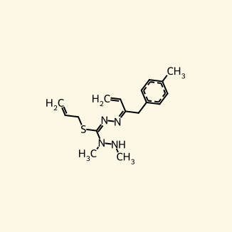 C=CCS/C(=N/N=C(\C=C)Cc1ccc(C)cc1)N(C)NC